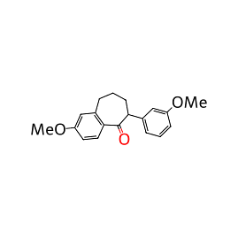 COc1cccc(C2CCCc3cc(OC)ccc3C2=O)c1